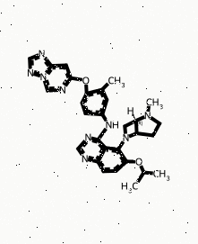 Cc1cc(Nc2ncnc3ccc(OC(C)C)c(N4C[C@@H]5C4CCN5C)c23)ccc1Oc1cc2ncnn2cn1